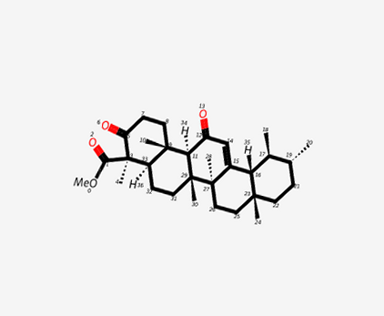 COC(=O)[C@@]1(C)C(=O)CC[C@]2(C)[C@H]3C(=O)C=C4[C@@H]5[C@@H](C)[C@H](C)CC[C@]5(C)CC[C@@]4(C)[C@]3(C)CC[C@@H]12